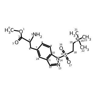 COC(=O)C(N)Cc1ccc2c(cnn2S(=O)(=O)CC[Si](C)(C)C)c1